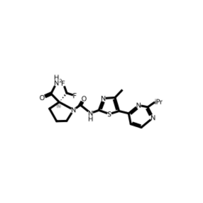 Cc1nc(NC(=O)N2CCC[C@]2(C(N)=O)C(F)F)sc1-c1ccnc(C(C)C)n1